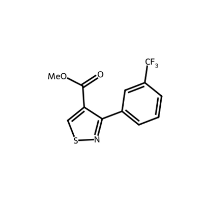 COC(=O)c1csnc1-c1cccc(C(F)(F)F)c1